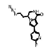 [N-]=[N+]=NCCC1CNC(=O)c2cc(-c3ccc(F)nc3)cn21